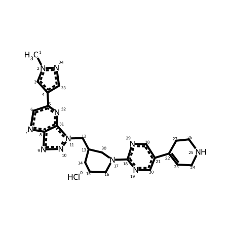 Cl.Cn1cc(-c2cnc3nnn(CC4CCCN(c5ncc(C6=CCNCC6)cn5)C4)c3n2)cn1